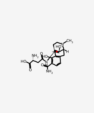 CN1CC[C@]23C[C@H](NC(=O)C[C@@H](N)C(=O)O)CC[C@@]2(O)[C@H]1Cc1ccc(C(N)=O)c(O)c13